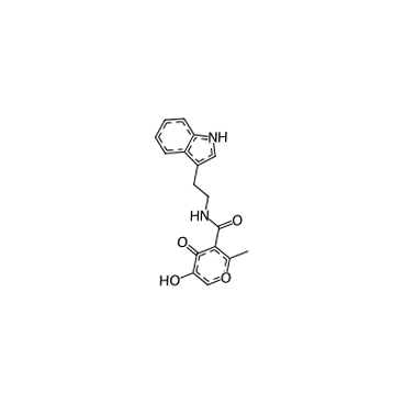 Cc1occ(O)c(=O)c1C(=O)NCCc1c[nH]c2ccccc12